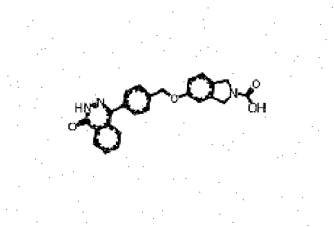 O=C(O)N1Cc2ccc(OCc3ccc(-c4n[nH]c(=O)c5ccccc45)cc3)cc2C1